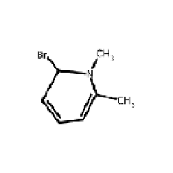 CC1=CC=CC(Br)N1C